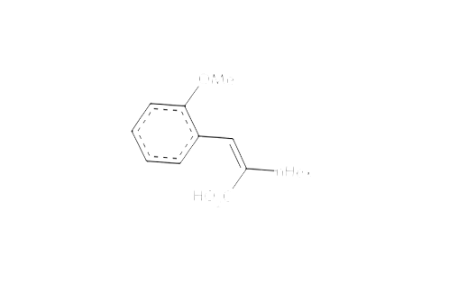 CCCCCCC(=Cc1ccccc1OC)C(=O)O